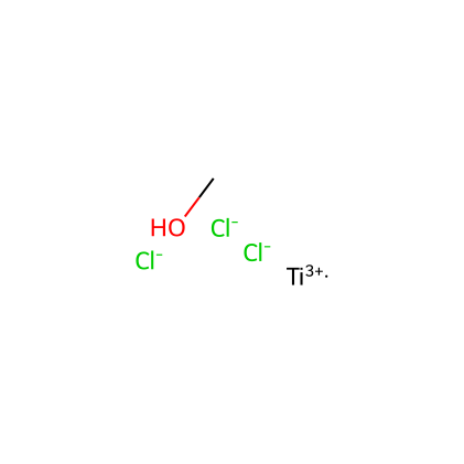 CO.[Cl-].[Cl-].[Cl-].[Ti+3]